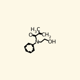 C=C(C)C(=O)N(CCO)c1ccccc1